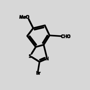 COc1cc(C=O)c2nc(Br)sc2c1